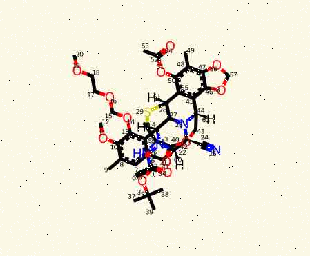 C=CCN1[C@@H]2c3c(cc(C)c(OC)c3OCOCCOC)C[C@H]1[C@H](C#N)N1C2[C@@H]2SC[C@H](NC(=O)OC(C)(C)C)C(=O)OC[C@H]1c1c3c(c(C)c(OC(C)=O)c12)OCO3